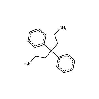 NCCC(CCN)(c1ccccc1)c1ccccc1